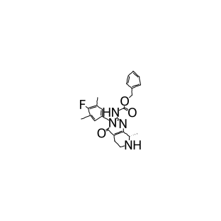 Cc1cc(-n2c(NC(=O)OCc3ccccc3)nc3c(c2=O)CCN[C@H]3C)cc(C)c1F